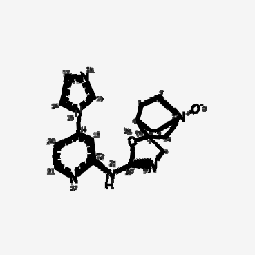 [O-][N+]12CCC(CC1)[C@]1(CN=C(Nc3cc(-n4ccnc4)ccn3)O1)C2